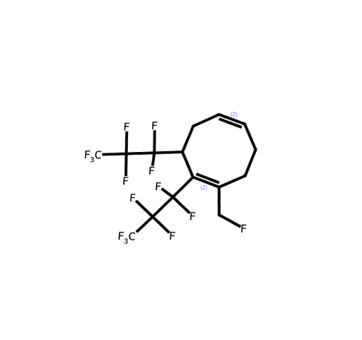 FC/C1=C(\C(F)(F)C(F)(F)C(F)(F)F)C(C(F)(F)C(F)(F)C(F)(F)F)C/C=C\CC1